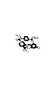 COC(=O)[C@H]1CC[C@@H](N(C)C(=O)N2CCc3c(C)nn(Cc4ccc(Cl)cc4F)c3C2)CC1